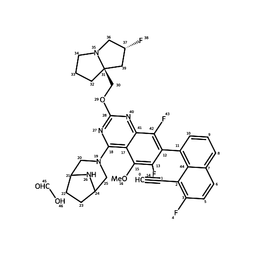 C#Cc1c(F)ccc2cccc(-c3c(F)c(OC)c4c(N5CC6CCC(C5)N6)nc(OC[C@@]56CCCN5C[C@H](F)C6)nc4c3F)c12.O=CO